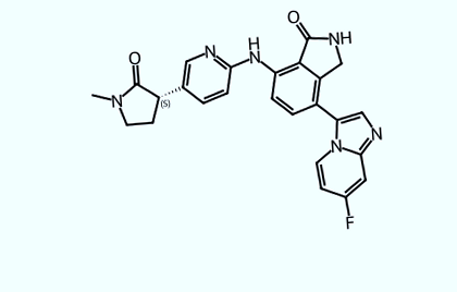 CN1CC[C@@H](c2ccc(Nc3ccc(-c4cnc5cc(F)ccn45)c4c3C(=O)NC4)nc2)C1=O